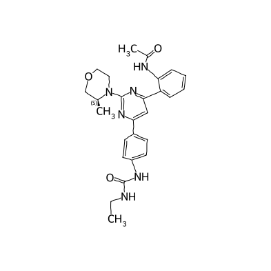 CCNC(=O)Nc1ccc(-c2cc(-c3ccccc3NC(C)=O)nc(N3CCOC[C@@H]3C)n2)cc1